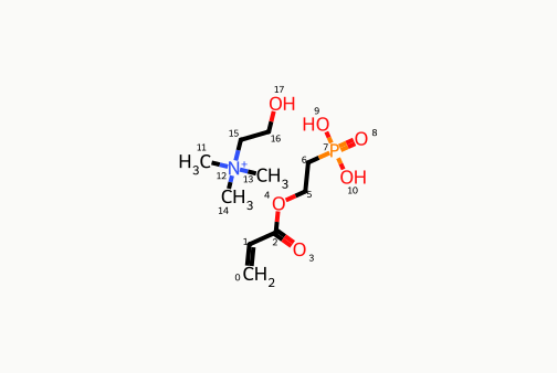 C=CC(=O)OCCP(=O)(O)O.C[N+](C)(C)CCO